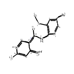 CCSc1cc(Br)cnc1N/C(Cl)=C1/C=NC(C(F)(F)F)=CC1=N